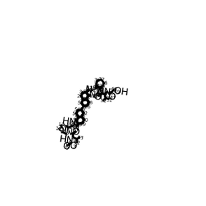 COC(=O)NC(C(=O)N1CC[Si](C)(C)CC1c1nc2ccc3cc(-c4ccc5c(ccc6nc([C@@H]7C8CCCC(C8)N7C(=O)C(NC(=O)CO)C(C)C)[nH]c65)c4)ccc3c2[nH]1)C(C)C